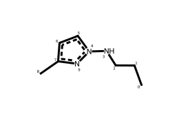 CCCNn1ccc(C)n1